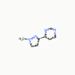 Cn1[c]cc(-c2ccncn2)n1